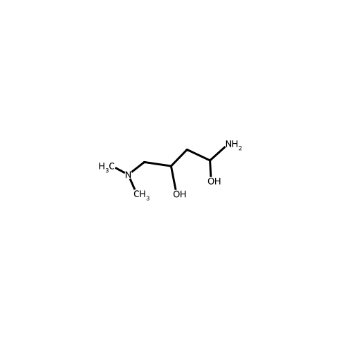 CN(C)CC(O)CC(N)O